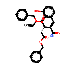 C=CCOc1c(O)cccc1/C=C(/C(N)=O)[C@H](CC(=O)OCc1ccccc1)C(=O)OCc1ccccc1